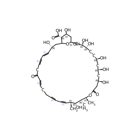 C[C@@H]1[C@H](O)[C@@H](C)/C=C/C=C/CC/C=C/C(=O)C/C=C/C=C/[C@H](O)CC2O[C@](O)(C[C@@H](O)[C@H](O)CC[C@@H](O)C[C@@H](O)C[C@@H](O)CC(=O)O[C@H]1C)C[C@H](O)[C@H]2C(=O)O